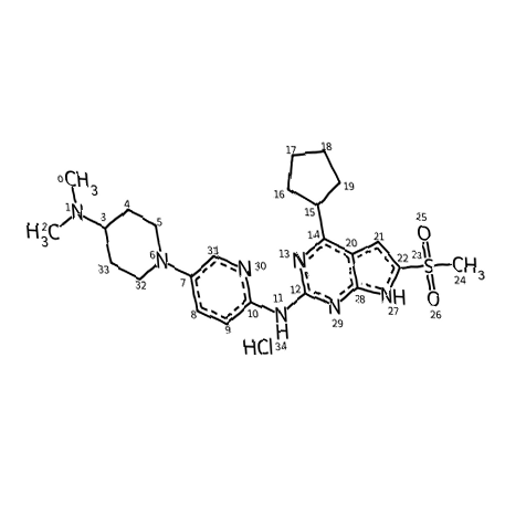 CN(C)C1CCN(c2ccc(Nc3nc(C4CCCC4)c4cc(S(C)(=O)=O)[nH]c4n3)nc2)CC1.Cl